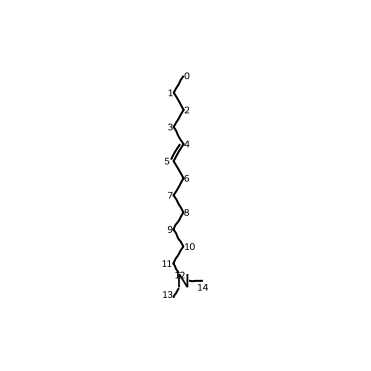 CCCC/C=C/CCCCCCN(C)C